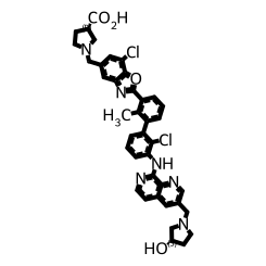 Cc1c(-c2nc3cc(CN4CC[C@@H](C(=O)O)C4)cc(Cl)c3o2)cccc1-c1cccc(Nc2nccc3cc(CN4CC[C@H](O)C4)cnc23)c1Cl